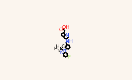 Cc1c(CNc2cnc3c(c2)CCC3CC(=O)O)cccc1-n1c(C)nc2ccc(F)cc21